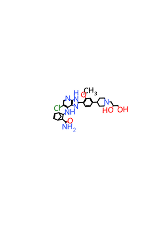 COc1cc(C2CCN(CC(O)CO)CC2)ccc1-c1nc2c(NC3C4C=CC(C4)C3C(N)=O)c(Cl)cnc2[nH]1